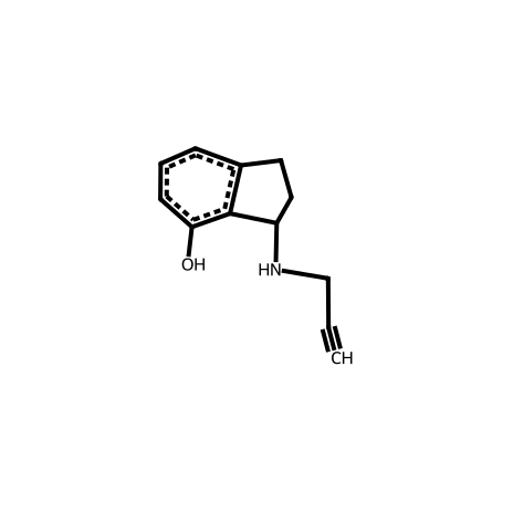 C#CCNC1CCc2cccc(O)c21